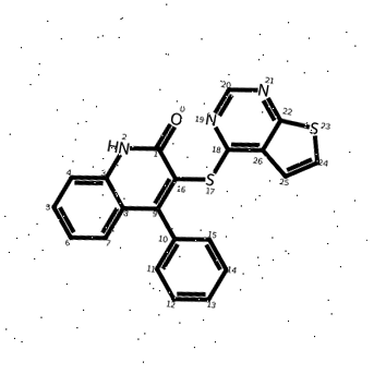 O=c1[nH]c2ccccc2c(-c2ccccc2)c1Sc1ncnc2sccc12